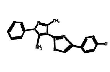 Cc1nn(-c2ccccc2)c(N)c1-c1nc(-c2ccc(Cl)cc2)cs1